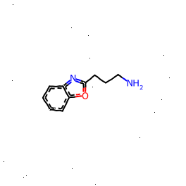 NCCCc1nc2ccccc2o1